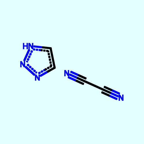 N#CC#N.c1c[nH]nn1